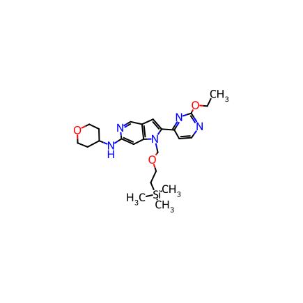 CCOc1nccc(-c2cc3cnc(NC4CCOCC4)cc3n2COCC[Si](C)(C)C)n1